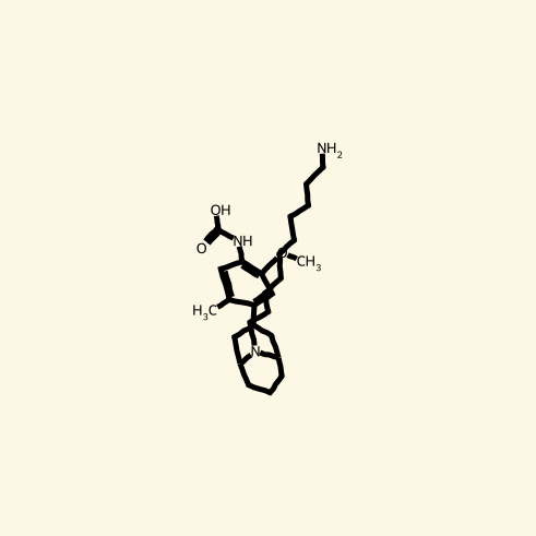 COc1cc(C2CC3CCCC(C2)N3CCCCCCCCCCN)c(C)cc1NC(=O)O